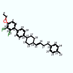 CCOc1ccc(-c2ccc(C3CCC(/C=C/CCc4ccc(C)cc4)CC3)cc2)c(F)c1F